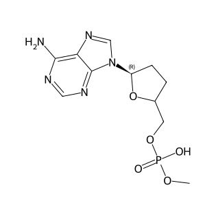 COP(=O)(O)OCC1CC[C@H](n2cnc3c(N)ncnc32)O1